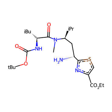 CCOC(=O)c1csc([C@H](N)C[C@H](C(C)C)N(C)C(=O)[C@@H](NC(=O)OC(C)(C)C)[C@@H](C)CC)n1